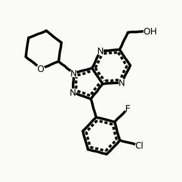 OCc1cnc2c(-c3cccc(Cl)c3F)nn(C3CCCCO3)c2n1